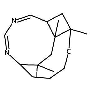 CC1(I)CC2(C)C3/C=N\C=N/C1CCCCC2(C)C3